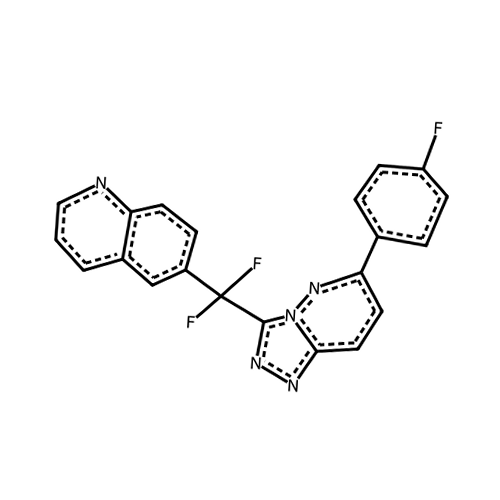 Fc1ccc(-c2ccc3nnc(C(F)(F)c4ccc5ncccc5c4)n3n2)cc1